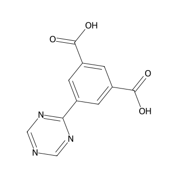 O=C(O)c1cc(C(=O)O)cc(-c2ncncn2)c1